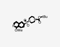 COc1nccc2cc(S(=O)(=O)N3CCCN(C(=O)OC(C)(C)C)CC3)ccc12